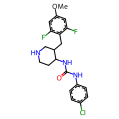 COc1cc(F)c(CC2CNCCC2NC(=O)Nc2ccc(Cl)cc2)c(F)c1